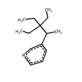 CCC(CC)(CC)C(C)c1cccnc1